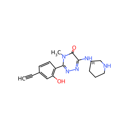 C#Cc1ccc(-c2nnc(N[C@@H]3CCCNC3)c(=O)n2C)c(O)c1